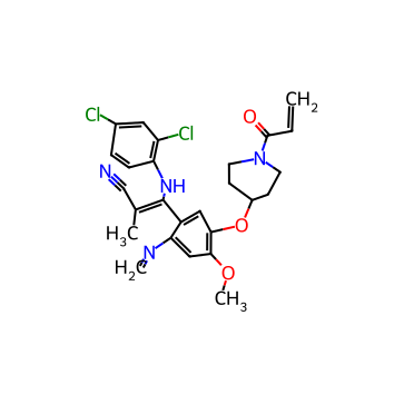 C=CC(=O)N1CCC(Oc2cc(/C(Nc3ccc(Cl)cc3Cl)=C(\C)C#N)c(N=C)cc2OC)CC1